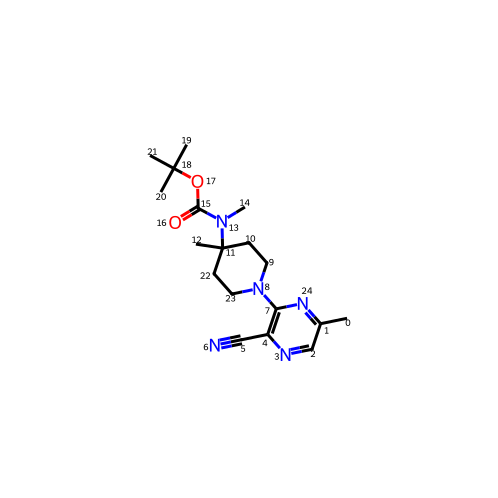 Cc1cnc(C#N)c(N2CCC(C)(N(C)C(=O)OC(C)(C)C)CC2)n1